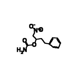 NC(=O)OC(CCc1ccccc1)C[N+](=O)[O-]